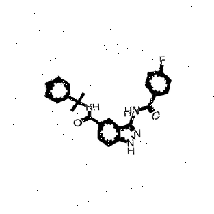 CC(C)(NC(=O)c1ccc2[nH]nc(NC(=O)c3ccc(F)cc3)c2c1)c1ccccc1